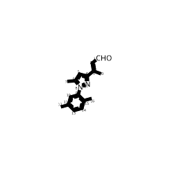 C/C(=C\C=O)c1cc(C)n(-c2cc(C)ccc2C)n1